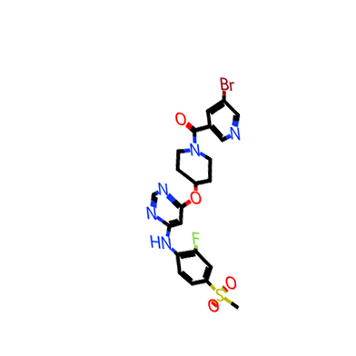 CS(=O)(=O)c1ccc(Nc2cc(OC3CCN(C(=O)c4cncc(Br)c4)CC3)ncn2)c(F)c1